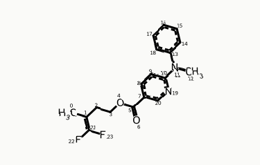 CC(CCOC(=O)c1ccc(N(C)c2ccccc2)nc1)=C(F)F